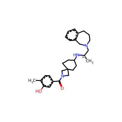 Cc1ccc(C(=O)N2CC3(CCC(N[C@H](C)CN4CCCc5ccccc5C4)CC3)C2)cc1O